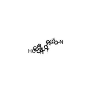 N#Cc1ccc(COc2cccc(-c3ccc(Cc4nc5ccc(C(=O)O)cc5n4C[C@H]4CCCO4)c(F)c3)n2)c(F)c1